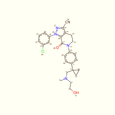 CN(CCO)CC1(c2ccc(N3CCc4c(C#N)nn(-c5cccc(Cl)c5)c4C3=O)cc2)CC1